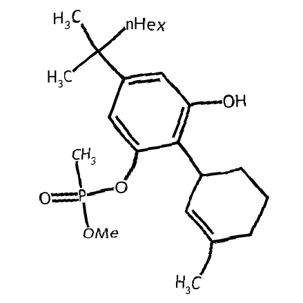 CCCCCCC(C)(C)c1cc(O)c(C2C=C(C)CCC2)c(OP(C)(=O)OC)c1